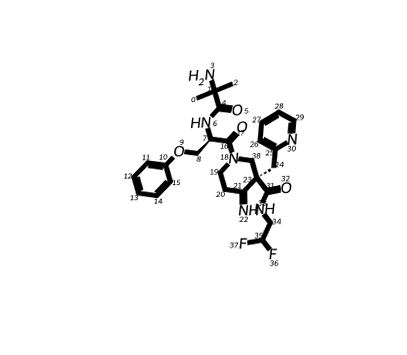 CC(C)(N)C(=O)N[C@H](COc1ccccc1)C(=O)N1CCC(=N)[C@](Cc2ccccn2)(C(=O)NCC(F)F)C1